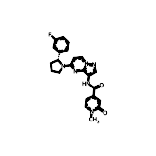 Cn1ccc(C(=O)Nc2cnn3ccc(N4CCC[C@@H]4c4cccc(F)c4)nc23)cc1=O